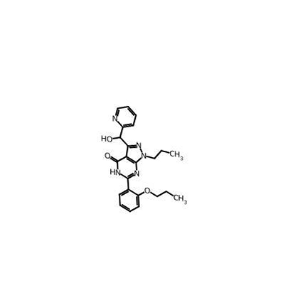 CCCOc1ccccc1-c1nc2c(c(C(O)c3ccccn3)nn2CCC)c(=O)[nH]1